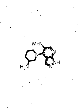 CNc1cnc2[nH]ncc2c1N1CCCC(N)C1